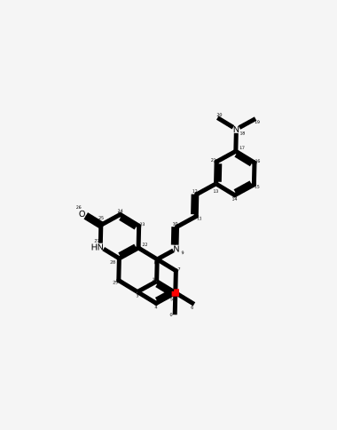 C/C=C1\C2C=C(C)CC1(/N=C/C=C/c1cccc(N(C)C)c1)c1ccc(=O)[nH]c1C2